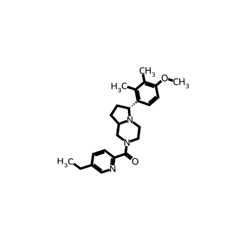 CCc1ccc(C(=O)N2CCN3C(CC[C@@H]3c3ccc(OC)c(C)c3C)C2)nc1